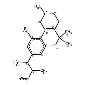 CCCCCC(C)C(C)c1cc2c(c(C(C)=O)c1)C1=C(CCC(C)C1)C(C)(C)O2